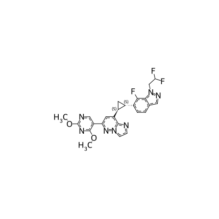 COc1ncc(-c2cc([C@H]3C[C@@H]3c3ccc4cnn(CC(F)F)c4c3F)c3nccn3n2)c(OC)n1